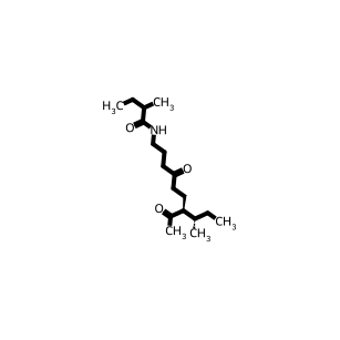 CCC(C)C(=O)NCCCC(=O)CC[C@H](C(C)=O)[C@@H](C)CC